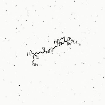 C\C=N/C(C)=C(CNCCCCNC(=O)CCCCC(C)(CC)CCCO)/N=C\CCC